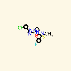 Cc1nc(C(=O)N2CCCC[C@H]2Cc2ncc(-c3cccc(Cl)c3)[nH]2)c(-c2ccc(F)cc2)s1